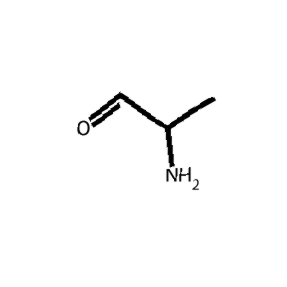 CC(N)C=O